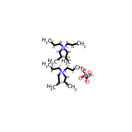 CCC[N+](CCC)(CCC)CCC.CCC[N+](CCC)(CCC)CCC.[O]=[Ru-2](=[O])(=[O])=[O]